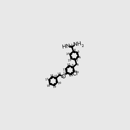 Cl.N=C(N)c1ccc(Cc2ccc(OCc3ccccc3)cc2)cc1